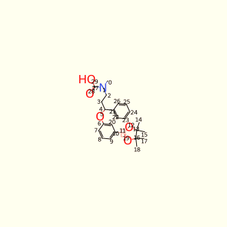 CN(CCC(Oc1cccc(B2OC(C)(C)C(C)(C)O2)c1)c1ccccc1)C(=O)O